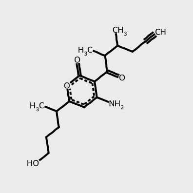 C#CCC(C)C(C)C(=O)c1c(N)cc(C(C)CCCO)oc1=O